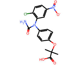 CC(C)(Oc1ccc(N(C(N)=O)c2cc([N+](=O)[O-])ccc2Cl)cc1)C(=O)O